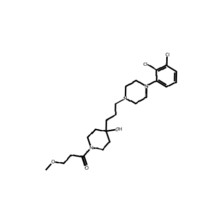 COCCC(=O)N1CCC(O)(CCCN2CCN(c3cccc(Cl)c3Cl)CC2)CC1